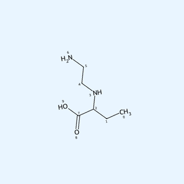 CCC(NCCN)C(=O)O